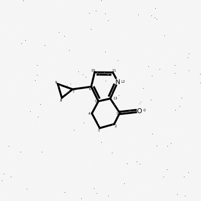 O=C1CCCc2c(C3CC3)ccnc21